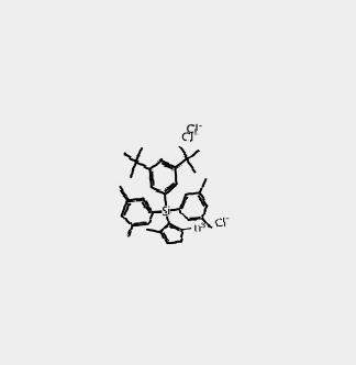 CC1=CC[C]([Ti+3])=C1[Si](c1cc(C)cc(C)c1)(c1cc(C)cc(C)c1)c1cc(C(C)(C)C)cc(C(C)(C)C)c1.[Cl-].[Cl-].[Cl-]